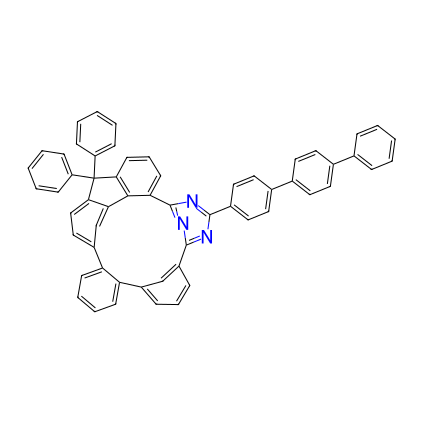 c1ccc(-c2ccc(-c3ccc(-c4nc5nc(n4)-c4cccc6c4-c4cc(ccc4C6(c4ccccc4)c4ccccc4)-c4ccccc4-c4cccc-5c4)cc3)cc2)cc1